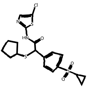 O=C(Nc1ncc(Cl)s1)C(SC1CCCC1)c1ccc(S(=O)(=O)C2CC2)cc1